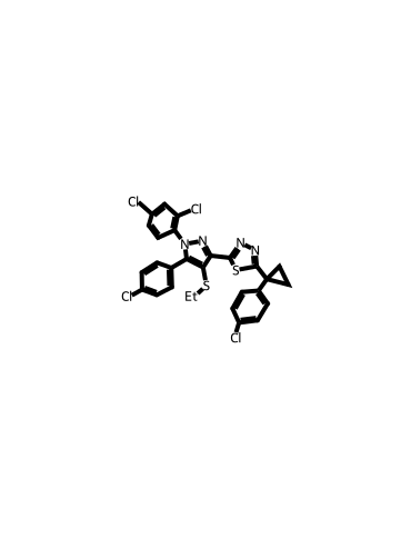 CCSc1c(-c2nnc(C3(c4ccc(Cl)cc4)CC3)s2)nn(-c2ccc(Cl)cc2Cl)c1-c1ccc(Cl)cc1